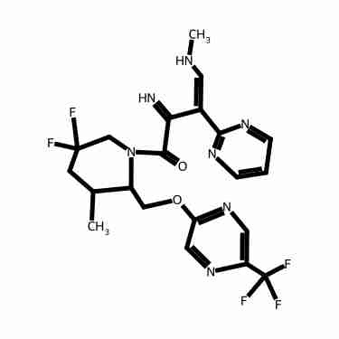 CN/C=C(\C(=N)C(=O)N1CC(F)(F)CC(C)C1COc1cnc(C(F)(F)F)cn1)c1ncccn1